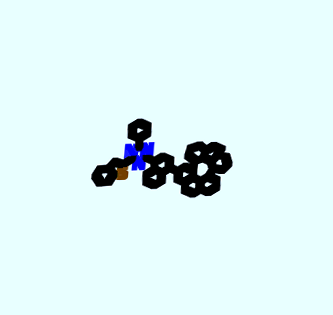 c1ccc(-c2nc(-c3cc4ccccc4s3)nc(-c3ccc(-c4cc5ccc6cccc7c8cccc9ccc%10cccc(c(c4)c5c67)c%10c98)c4ccccc34)n2)cc1